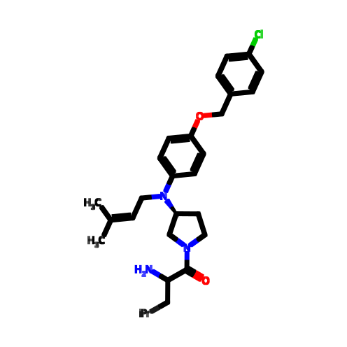 CC(C)=CCN(c1ccc(OCc2ccc(Cl)cc2)cc1)[C@H]1CCN(C(=O)C(N)CC(C)C)C1